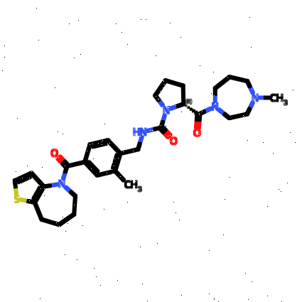 Cc1cc(C(=O)N2CCCCc3sccc32)ccc1CNC(=O)N1CCC[C@@H]1C(=O)N1CCCN(C)CC1